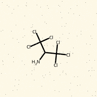 NC(C(Cl)(Cl)Cl)C(Cl)(Cl)Cl